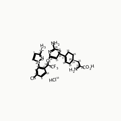 Cc1ccn(-c2cc(Cl)ccc2[C@@H](Oc2cc(C3=CC[C@H](C[C@H](N)C(=O)O)CC3)nc(N)n2)C(F)(F)F)n1.Cl